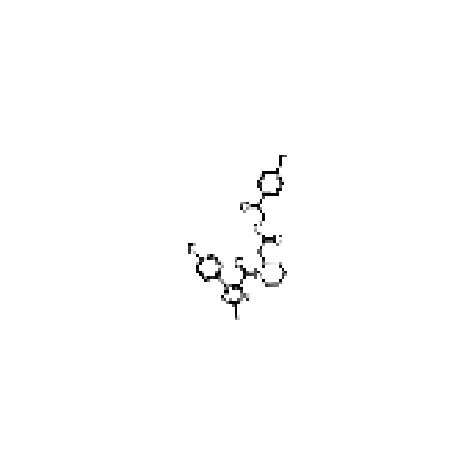 Cc1nc(C(=O)N2CCCCC2CC(=O)OCC(=O)c2ccc(F)cc2)c(-c2ccc(F)cc2)s1